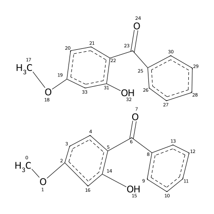 COc1ccc(C(=O)c2ccccc2)c(O)c1.COc1ccc(C(=O)c2ccccc2)c(O)c1